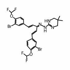 CC1(C)CN=C(NN=C(C=Cc2ccc(OC(F)F)c(Br)c2)C=Cc2ccc(OC(F)F)c(Br)c2)NC1